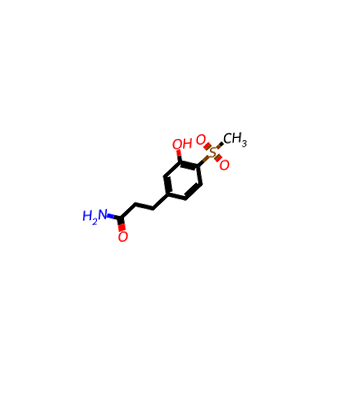 CS(=O)(=O)c1ccc(CCC(N)=O)cc1O